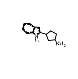 NC1CCC(c2cc3ccccc3[nH]2)C1